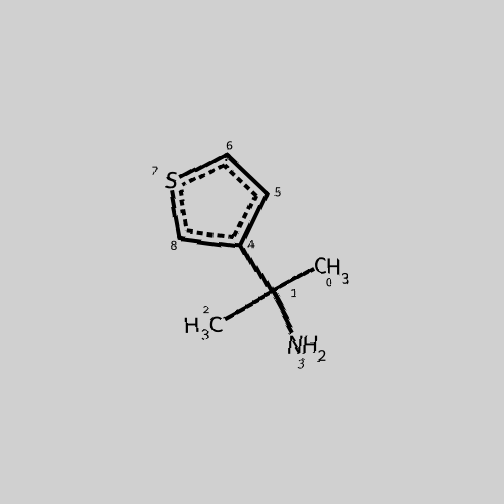 CC(C)(N)c1c[c]sc1